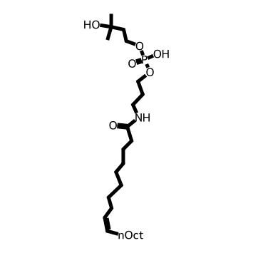 CCCCCCCC/C=C\CCCCCCCC(=O)NCCCOP(=O)(O)OCCC(C)(C)O